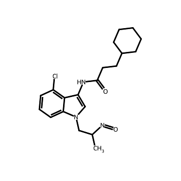 CC(Cn1cc(NC(=O)CCC2CCCCC2)c2c(Cl)cccc21)N=O